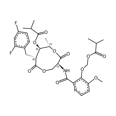 COc1ccnc(C(=O)N[C@H]2COC(=O)[C@H](Cc3ccc(F)cc3F)[C@@H](OC(=O)C(C)C)[C@H](C)OC2=O)c1OCOC(=O)C(C)C